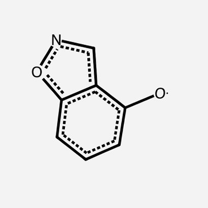 [O]c1cccc2oncc12